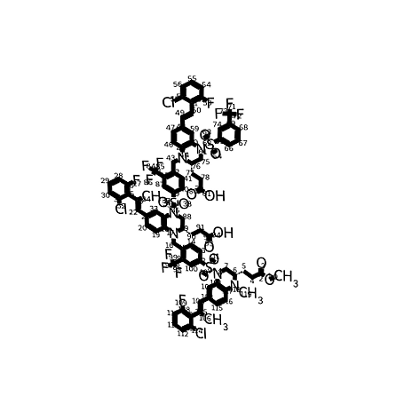 COC(=O)CC[C@H]1CN(S(=O)(=O)c2ccc(CN3c4ccc(/C=C(\C)c5c(F)cccc5Cl)cc4N(S(=O)(=O)c4ccc(CN5c6ccc(/C=C/c7c(F)cccc7Cl)cc6N(S(=O)(=O)c6cccc(C(F)(F)F)c6)C[C@@H]5CCC(=O)O)c(C(F)(F)F)c4)C[C@@H]3CCC(=O)O)c(C(F)(F)F)c2)c2cc(/C=C(\C)c3c(F)cccc3Cl)ccc2N1C